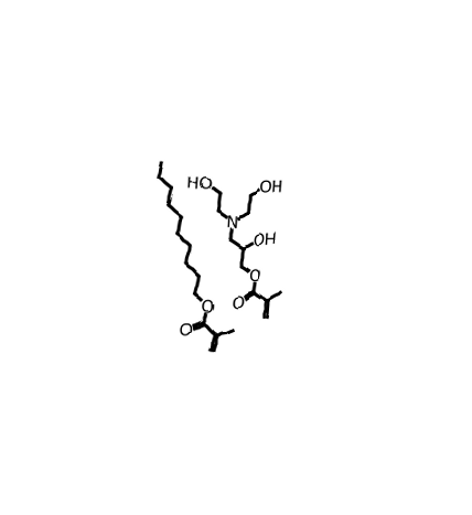 C=C(C)C(=O)OCC(O)CN(CCO)CCO.C=C(C)C(=O)OCCCCCCCCCC